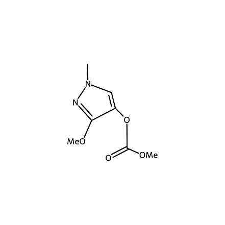 COC(=O)Oc1cn(C)nc1OC